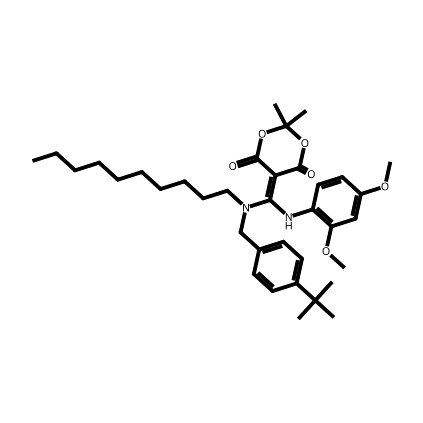 CCCCCCCCCCN(Cc1ccc(C(C)(C)C)cc1)C(Nc1ccc(OC)cc1OC)=C1C(=O)OC(C)(C)OC1=O